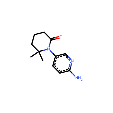 CC1(C)CCCC(=O)N1c1ccc(N)nc1